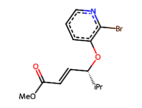 COC(=O)/C=C/[C@H](Oc1cccnc1Br)C(C)C